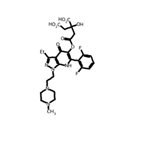 CCc1nn(CCN2CCN(C)CC2)c2[nH]c(-c3c(F)cccc3F)c(OC(=O)CC(O)(CC(=O)O)C(=O)O)c(=O)c12